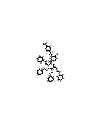 [2H]C([2H])(c1ccc(CC)cc1)c1cc([C@]2(O)C=C(COCc3ccccc3)[C@@H](OCc3ccccc3)[C@H](OCc3ccccc3)[C@H]2OCc2ccccc2)ccc1Cl